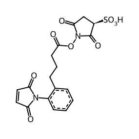 O=C(CCCc1ccccc1N1C(=O)C=CC1=O)ON1C(=O)C[C@@H](S(=O)(=O)O)C1=O